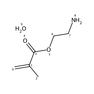 C=C(C)C(=O)OCCN.O